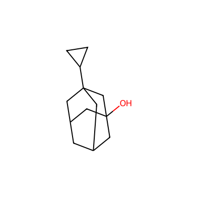 OC12CC3CC(C1)CC(C1CC1)(C3)C2